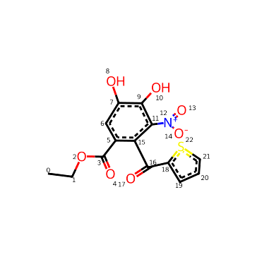 CCOC(=O)c1cc(O)c(O)c([N+](=O)[O-])c1C(=O)c1cccs1